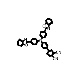 N#Cc1ccc(-c2ccc(N(c3ccc(-c4nc5ccccc5o4)cc3)c3ccc(-c4nc5ccccc5o4)cc3)cc2)cc1C#N